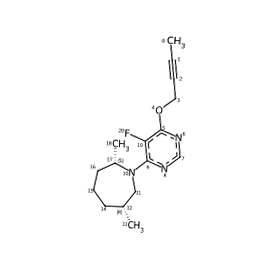 CC#CCOc1ncnc(N2C[C@H](C)CCC[C@@H]2C)c1F